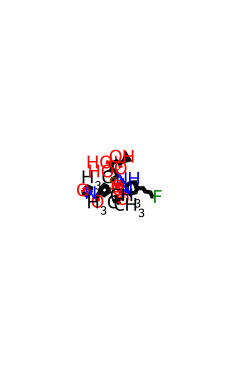 C[C@H](Sc1ccc(C(=O)N2CCOCC2)cc1)[C@@H](NC(=O)[C@@H]1CC=C(CCCCF)CCN1C(=O)OC(C)(C)C)[C@H]1OC(C2CC2)[C@H](O)C(O)[C@@H]1O